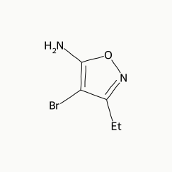 CCc1noc(N)c1Br